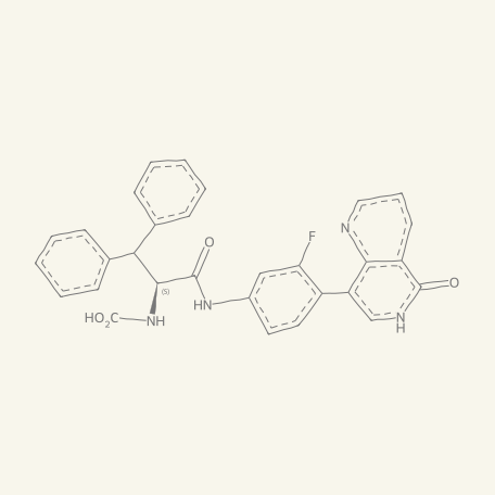 O=C(O)N[C@H](C(=O)Nc1ccc(-c2c[nH]c(=O)c3cccnc23)c(F)c1)C(c1ccccc1)c1ccccc1